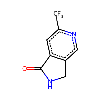 O=C1NCc2cnc(C(F)(F)F)cc21